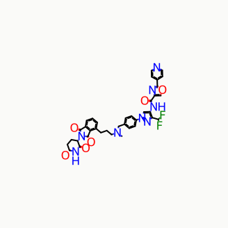 CN(CCCc1cccc2c1C(=O)N(C1CCC(=O)NC1=O)C2=O)Cc1ccc(-n2cc(NC(=O)c3coc(-c4ccncc4)n3)c(C(F)F)n2)cc1